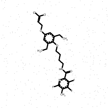 CCc1cc(OCC=C(Cl)Cl)cc(CC)c1OCCCCNC(=O)c1nc(F)c(C)c(F)c1F